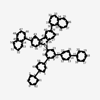 c1ccc(-c2ccc(-c3cc(-c4ccc(-c5ccccc5)cc4)cc(-n4c5ccc(-c6cccc7ccccc67)cc5c5cc(-c6cccc7ccccc67)ccc54)c3)cc2)cc1